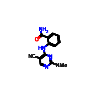 CNc1ncc(C#N)c(Nc2ccccc2C(N)=O)n1